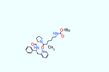 C[C@@H](CCCCNC(=O)OC(C)(C)C)C(=O)N1CCC[C@H]1C(=O)N[C@@H](Cc1ccccn1)c1ccccc1